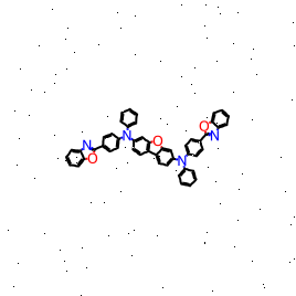 c1ccc(N(c2ccc(-c3nc4ccccc4o3)cc2)c2ccc3c(c2)oc2cc(N(c4ccccc4)c4ccc(-c5nc6ccccc6o5)cc4)ccc23)cc1